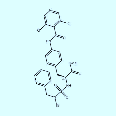 CCN(Cc1ccccc1)S(=O)(=O)N[C@@H](Cc1ccc(NC(=O)c2c(Cl)cncc2Cl)cc1)C(=O)OC